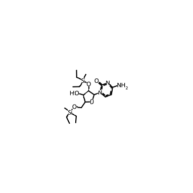 CC[Si](C)(CC)OCC1OC(n2ccc(N)nc2=O)C(O[Si](C)(CC)CC)C1O